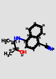 C[C@H](Nc1ccc(C#N)c2ccccc12)[C@@H](C)O